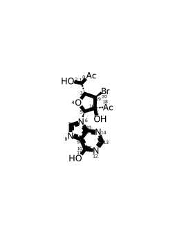 CC(=O)C(O)[C@H]1O[C@@H](n2cnc3c(O)ncnc32)[C@@](O)(C(C)=O)[C@@H]1Br